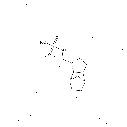 O=S(=O)(NCC1CCC2C3CCC(C3)C12)C(F)(F)F